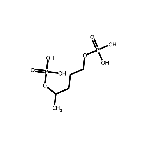 CC(CCCOP(=O)(O)O)OP(=O)(O)O